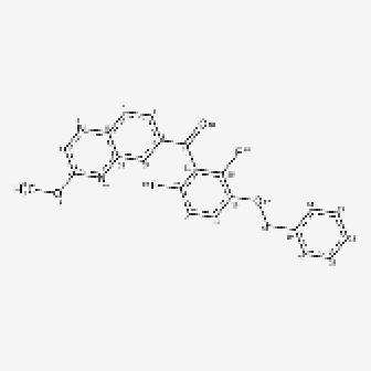 COc1cnc2ccc(C(=O)c3c(F)ccc(OCc4ccccc4)c3F)cc2n1